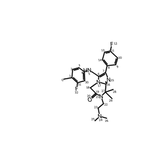 Cc1ccc(Nc2c(-c3ccc(F)cc3)nc3n2CC(=O)N(CCN(C)C)C3(C)C)cc1F